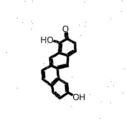 O=C1CC=c2cc3c(ccc4ccc(O)cc43)cc2=C1O